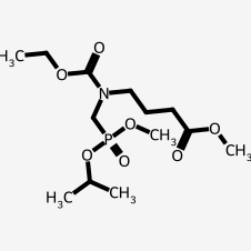 CCOC(=O)N(CCCC(=O)OC)CP(=O)(OC)OC(C)C